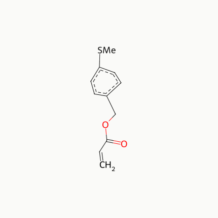 C=CC(=O)OCc1ccc(SC)cc1